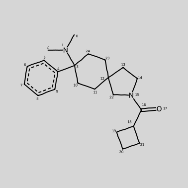 CN(C)C1(c2ccccc2)CCC2(CCN(C(=O)C3CCC3)C2)CC1